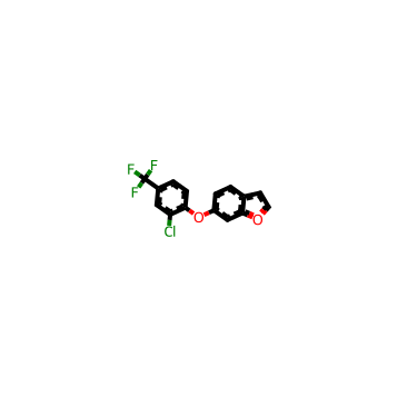 FC(F)(F)c1ccc(Oc2ccc3ccoc3c2)c(Cl)c1